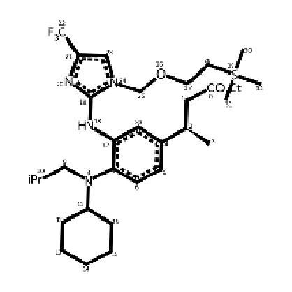 CCOC(=O)C[C@@H](C)c1ccc(N(CC(C)C)C2CCCCC2)c(Nc2nc(C(F)(F)F)cn2COCCS(C)(C)C)c1